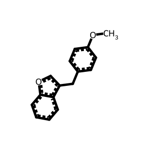 COc1ccc(Cc2coc3ccccc23)cc1